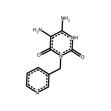 Nc1[nH]c(=O)n(Cc2cccnc2)c(=O)c1N